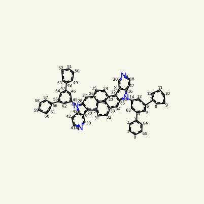 c1ccc(-c2cc(-c3ccccc3)cc(-n3c4ccncc4c4c5ccc6cc7c(c8ccc(cc43)c5c68)c3cnccc3n7-c3cc(-c4ccccc4)cc(-c4ccccc4)c3)c2)cc1